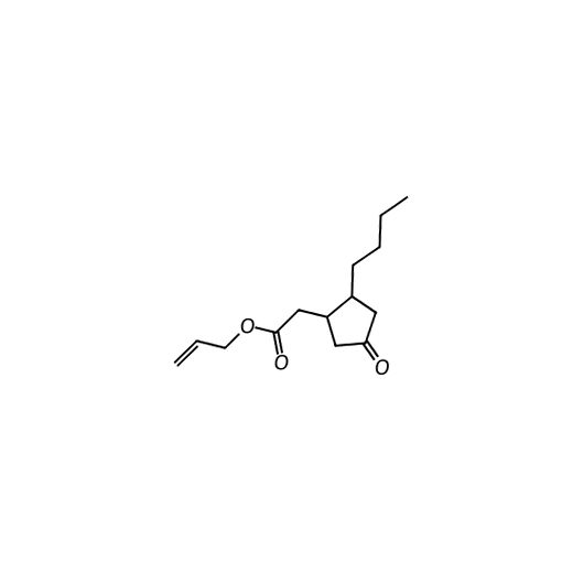 C=CCOC(=O)CC1CC(=O)CC1CCCC